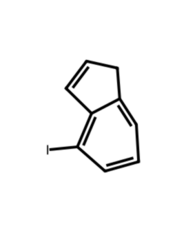 Ic1cccc2c1C=CC2